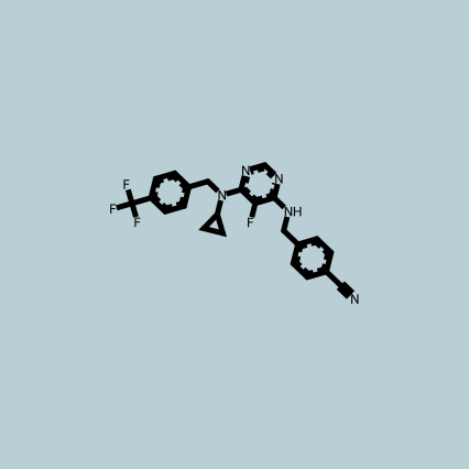 N#Cc1ccc(CNc2ncnc(N(Cc3ccc(C(F)(F)F)cc3)C3CC3)c2F)cc1